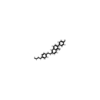 CCCCc1ccc(CCc2ccc3c(F)c(-c4ccc(C)cc4)ccc3c2)cc1